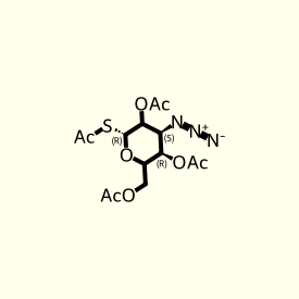 CC(=O)OCC1O[C@H](SC(C)=O)C(OC(C)=O)[C@@H](N=[N+]=[N-])[C@H]1OC(C)=O